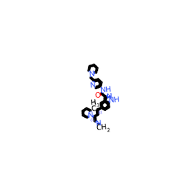 C=N/C=C(\C=C(/C)c1ccc2[nH]nc(C(=O)Nc3ccc(CN4CCCCC4)nc3)c2c1)N1CCCCC1